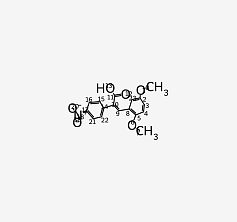 COc1ccc(OC)c(C=C(C(=O)O)c2ccc([N+](=O)[O-])cc2)c1